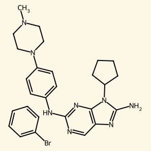 Brc1ccccc1.CN1CCN(c2ccc(Nc3ncc4nc(N)n(C5CCCC5)c4n3)cc2)CC1